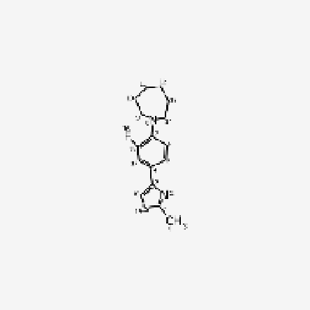 Cc1nc(-c2ccc(N3CCCCCC3)c(F)c2)cs1